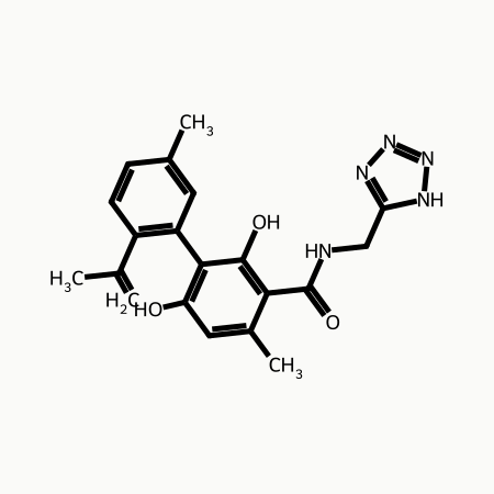 C=C(C)c1ccc(C)cc1-c1c(O)cc(C)c(C(=O)NCc2nnn[nH]2)c1O